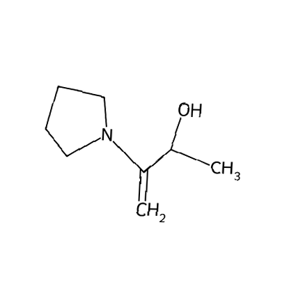 C=C(C(C)O)N1CCCC1